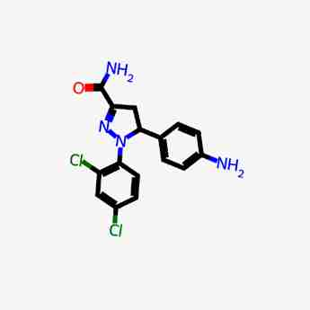 NC(=O)C1=NN(c2ccc(Cl)cc2Cl)C(c2ccc(N)cc2)C1